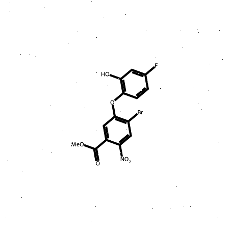 COC(=O)c1cc(Oc2ccc(F)cc2O)c(Br)cc1[N+](=O)[O-]